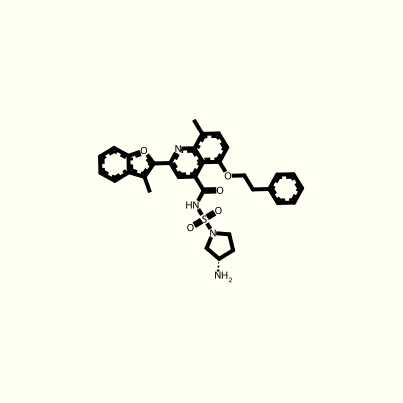 Cc1c(-c2cc(C(=O)NS(=O)(=O)N3CC[C@H](N)C3)c3c(OCCc4ccccc4)ccc(C)c3n2)oc2ccccc12